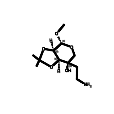 CO[C@@H]1OC[C@](O)(CCN)[C@H]2OC(C)(C)O[C@@H]12